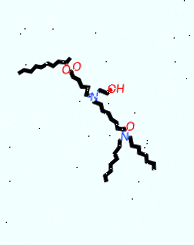 CCCCCCCCC(C)OC(=O)CCCCCN(CCO)CCCCCCCC(=O)N(CCCCCCCC)CCCCCCCC